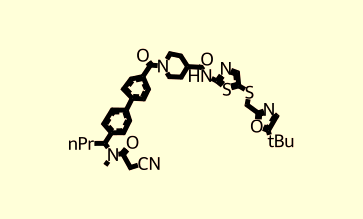 CCCC(c1ccc(-c2ccc(C(=O)N3CCC(C(=O)Nc4ncc(SCc5ncc(C(C)(C)C)o5)s4)CC3)cc2)cc1)N(C)C(=O)CC#N